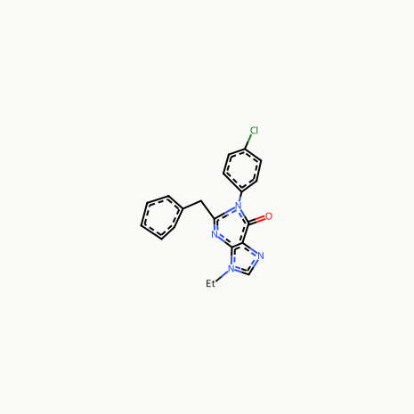 CCn1cnc2c(=O)n(-c3ccc(Cl)cc3)c(Cc3ccccc3)nc21